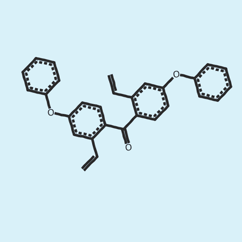 C=Cc1cc(Oc2ccccc2)ccc1C(=O)c1ccc(Oc2ccccc2)cc1C=C